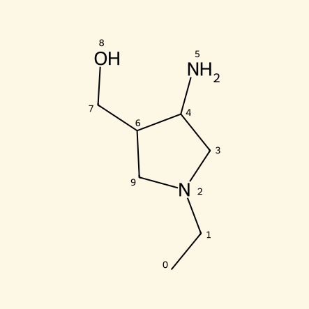 CCN1CC(N)C(CO)C1